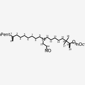 C=C(CCCCC)CCCCCCCN(CCCCCC(C)(C)C(=C)OCCCCCCCC)CCN=O